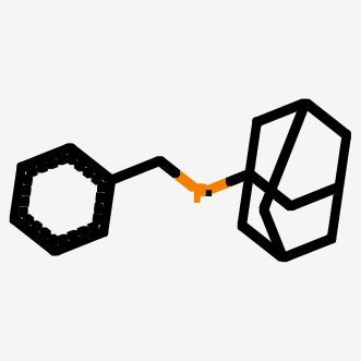 c1ccc(C[P]C23CC4CC(CC(C4)C2)C3)cc1